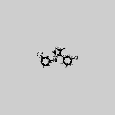 Cc1ncn(Nc2cccc(Cl)c2)c1-c1cccc(Cl)c1